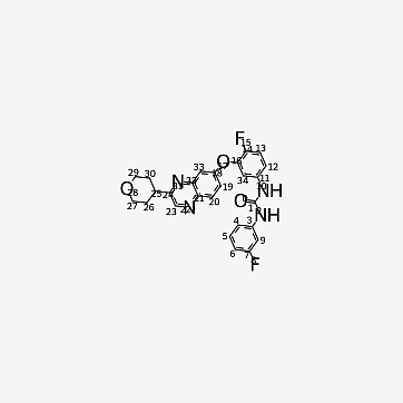 O=C(Nc1cccc(F)c1)Nc1ccc(F)c(Oc2ccc3ncc(C4CCOCC4)nc3c2)c1